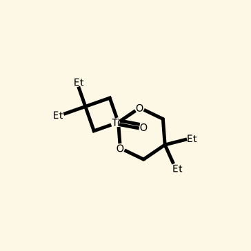 CCC1(CC)C[O][Ti]2(=[O])([CH2]C(CC)(CC)[CH2]2)[O]C1